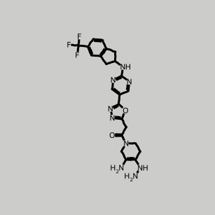 NNC1=C(N)CN(C(=O)Cc2nnc(-c3cnc(NC4Cc5ccc(C(F)(F)F)cc5C4)nc3)o2)CC1